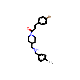 Cc1ccc(CNCC2CCN(C(=O)/C=C/c3ccc(Br)cc3)CC2)cc1